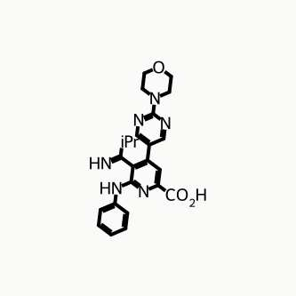 CC(C)C(=N)c1c(-c2cnc(N3CCOCC3)nc2)cc(C(=O)O)nc1Nc1ccccc1